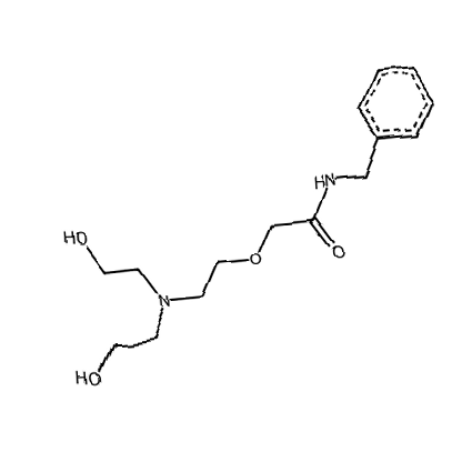 O=C(COCCN(CCO)CCO)NCc1ccccc1